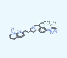 O=C(O)C[C@H](CN1CC[C@@H](CCc2ccc3c(n2)NCCC3)C1)c1cccc(-n2ccnn2)c1